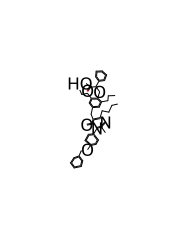 CCCCc1nc(C)n(-c2ccc(OCc3ccccc3)cc2)c(=O)c1Cc1cc(CCC)c(OC(C(=O)O)c2ccccc2)c(CCC)c1